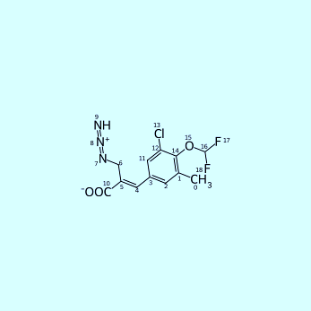 Cc1cc(C=C(CN=[N+]=N)C(=O)[O-])cc(Cl)c1OC(F)F